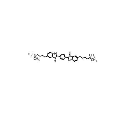 CN(C)CCCCc1ccc2nc(-c3ccc(-c4nc5ccc(CCCCN(C)C)cc5[nH]4)cc3)[nH]c2c1